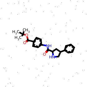 CC(C)(C)OC(=O)c1ccc(NC(=O)C2CC(c3ccccc3)CN2)cc1